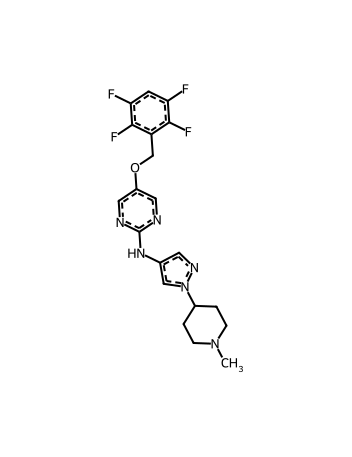 CN1CCC(n2cc(Nc3ncc(OCc4c(F)c(F)cc(F)c4F)cn3)cn2)CC1